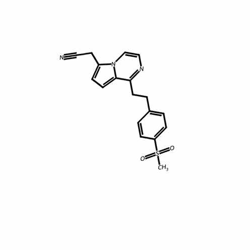 CS(=O)(=O)c1ccc(CCc2nccn3c(CC#N)ccc23)cc1